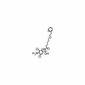 CC(O)(NC(=O)CCCCCOCCc1ccccn1)c1cc(Cl)c(N)c(Cl)c1